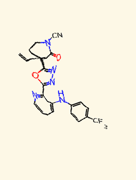 C=C[C@@]1(c2nnc(-c3ncccc3Nc3ccc(C(F)(F)F)cc3)o2)CCN(C#N)C1=O